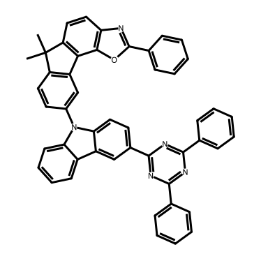 CC1(C)c2ccc(-n3c4ccccc4c4cc(-c5nc(-c6ccccc6)nc(-c6ccccc6)n5)ccc43)cc2-c2c1ccc1nc(-c3ccccc3)oc21